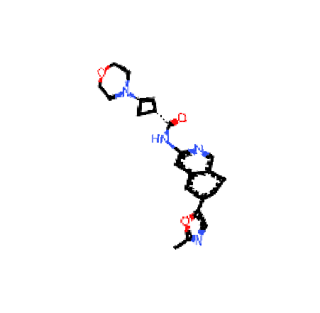 Cc1ncc(-c2ccc3cnc(NC(=O)[C@H]4C[C@H](N5CCOCC5)C4)cc3c2)o1